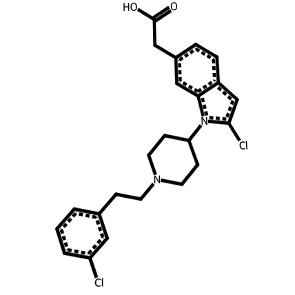 O=C(O)Cc1ccc2cc(Cl)n(C3CCN(CCc4cccc(Cl)c4)CC3)c2c1